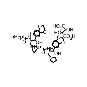 CCCCCCCC(=O)N[C@H](CN1CCCC1)[C@H](O)c1ccc2c(c1)OCCO2.CCCCCCCC(=O)N[C@H](CN1CCCC1)[C@H](O)c1ccc2c(c1)OCCO2.O=C(O)[C@H](O)[C@@H](O)C(=O)O